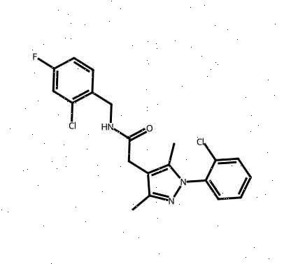 Cc1nn(-c2ccccc2Cl)c(C)c1CC(=O)NCc1ccc(F)cc1Cl